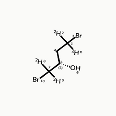 [2H]C([2H])(Br)C[C@H](O)C([2H])([2H])Br